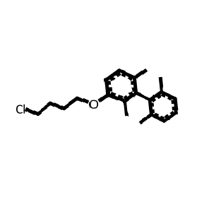 Cc1cccc(C)c1-c1c(C)ccc(OCCCCCl)c1C